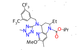 CCC1CC(N(Cc2cc(C(F)(F)F)cc(C(F)(F)F)c2)c2nnn(C)n2)c2nc(OC)c(C)cc2N1C(=O)OC(C)C